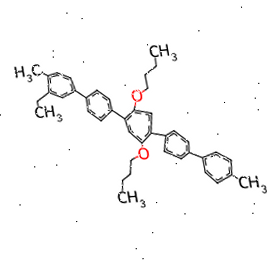 CCCCOc1cc(-c2ccc(-c3ccc(C)c(CC)c3)cc2)c(OCCCC)cc1-c1ccc(-c2ccc(C)cc2)cc1